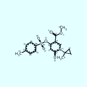 COC(=O)c1cn(C2(C)CC2)c(=O)cc1OS(=O)(=O)c1ccc(C)cc1